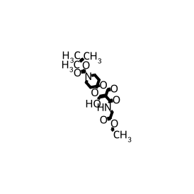 CCOC(=O)CNC(=O)C1=C(O)OC2(CCN(C(=O)OC(C)(C)C)CC2)OC1=O